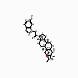 CCOC[C@]12CC[C@@](C)(O)C[C@@H]1CC[C@H]1[C@@H]3CC[C@H](C(=O)Cn4nnc5ccc(Cl)cc54)[C@@]3(C)CC[C@@H]12